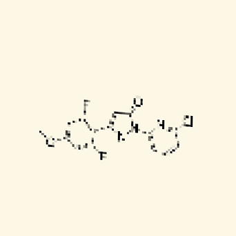 COc1cc(F)c(-c2cc(=O)n(-c3cccc(Cl)n3)n2C)c(F)c1